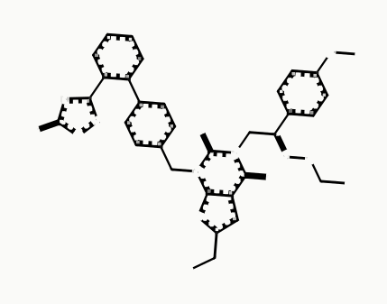 CCON=C(Cn1c(=O)c2cc(CC)sc2n(Cc2ccc(-c3ccccc3-c3noc(=O)[nH]3)cc2)c1=O)c1ccc(OC)cc1